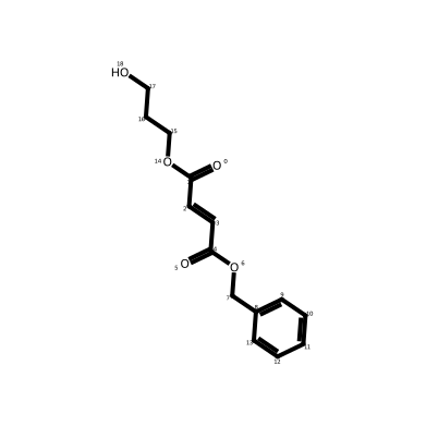 O=C(C=CC(=O)OCc1ccccc1)OCCCO